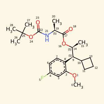 COc1cc(F)ccc1[C@H](C1CCC1)[C@H](C)OC(=O)[C@H](C)NC(=O)OC(C)(C)C